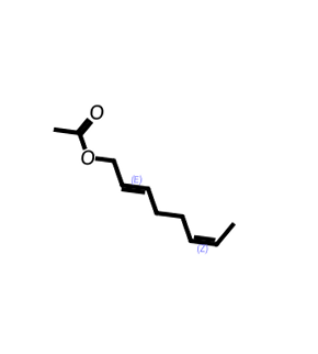 C/C=C\CC/C=C/COC(C)=O